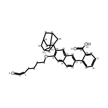 O=C=CCCCCOc1cc2ccc(-c3ccccc3C(=O)O)cc2cc1C12CC3CC(CC(C3)C1)C2